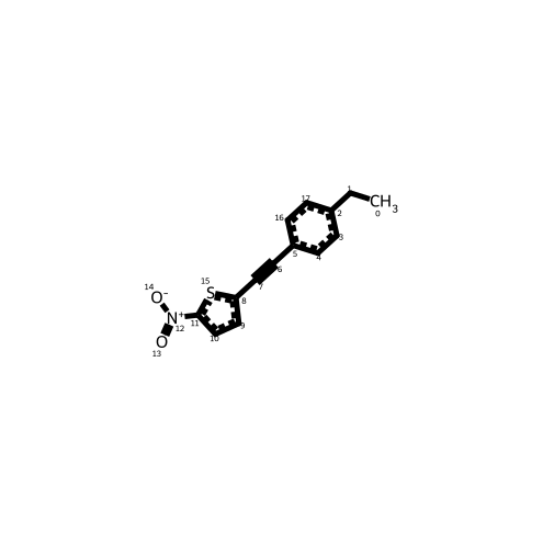 CCc1ccc(C#Cc2ccc([N+](=O)[O-])s2)cc1